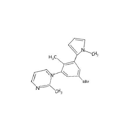 Cc1c(-c2cccn2C)cc(C(C)(C)C)cc1-[n+]1cccnc1C